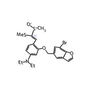 CCN(CC)c1ccc(/C=C(\SC)[S+](C)[O-])c(OCc2cc(Br)c3occc3c2)c1